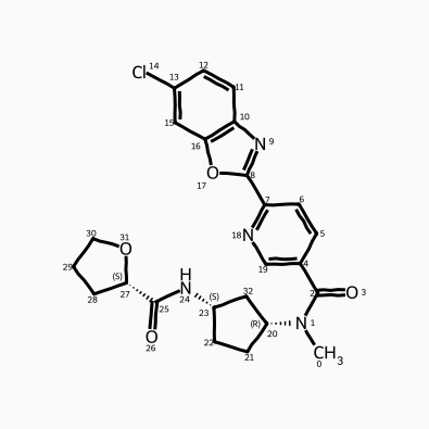 CN(C(=O)c1ccc(-c2nc3ccc(Cl)cc3o2)nc1)[C@@H]1CC[C@H](NC(=O)[C@@H]2CCCO2)C1